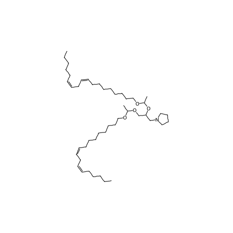 CCCCC/C=C\C/C=C\CCCCCCCCOC(C)OCC(CN1CCCC1)OC(C)OCCCCCCCC/C=C\C/C=C\CCCCC